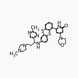 Cc1cnc(C(CCN2CCN(C)CC2)Nc2ccc3c(c2)Sc2cccc(-c4cc(N5CCOCC5)cc(=O)[nH]4)c2S3)cn1